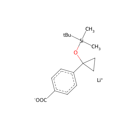 CC(C)(C)[Si](C)(C)OC1(c2ccc(C(=O)[O-])cc2)CC1.[Li+]